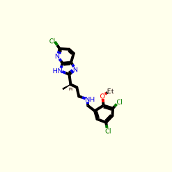 CCOc1c(Cl)cc(Cl)cc1CNCC[C@@H](C)c1nc2ccc(Cl)nc2[nH]1